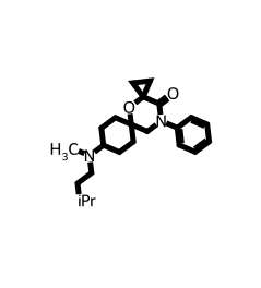 CC(C)CCN(C)C1CCC2(CC1)CN(c1ccccc1)C(=O)C1(CC1)O2